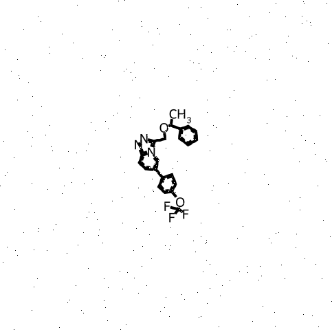 CC(OCc1nnc2ccc(-c3ccc(OC(F)(F)F)cc3)cn12)c1ccccc1